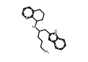 NCCCC(Cc1cc2ccccc2[nH]1)NC1CCCc2cccnc21